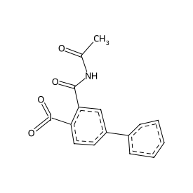 CC(=O)NC(=O)c1cc(-c2ccccc2)ccc1I(=O)=O